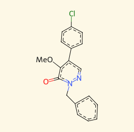 COc1c(-c2ccc(Cl)cc2)cnn(Cc2ccccc2)c1=O